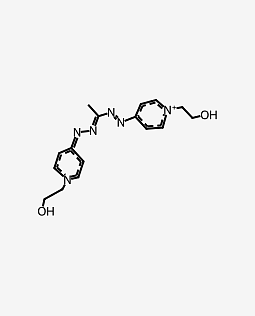 CC(N=Nc1cc[n+](CCO)cc1)=NN=c1ccn(CCO)cc1